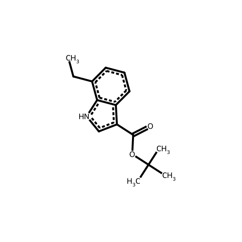 CCc1cccc2c(C(=O)OC(C)(C)C)c[nH]c12